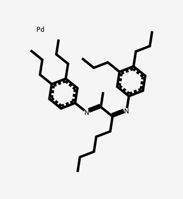 CCCCCC(=Nc1ccc(CCC)c(CCC)c1)C(C)=Nc1ccc(CCC)c(CCC)c1.[Pd]